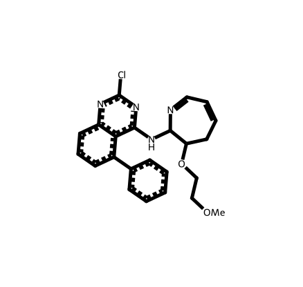 COCCOC1CC=CC=NC1Nc1nc(Cl)nc2cccc(-c3ccccc3)c12